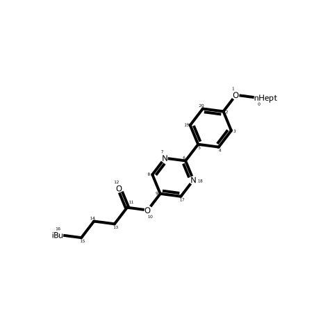 CCCCCCCOc1ccc(-c2ncc(OC(=O)CCCC(C)CC)cn2)cc1